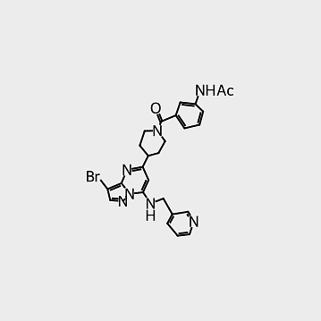 CC(=O)Nc1cccc(C(=O)N2CCC(c3cc(NCc4cccnc4)n4ncc(Br)c4n3)CC2)c1